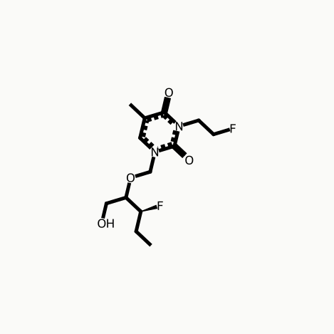 CC[C@H](F)C(CO)OCn1cc(C)c(=O)n(CCF)c1=O